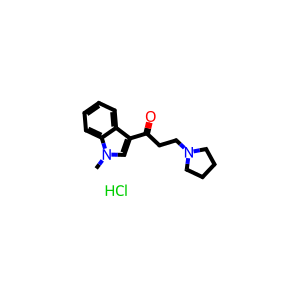 Cl.Cn1cc(C(=O)CCN2CCCC2)c2ccccc21